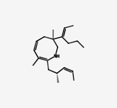 C/C=C\[C@H](C)C/C1=C(C)/C=C\CC(C)(/C(=C/C)CCC)CN1